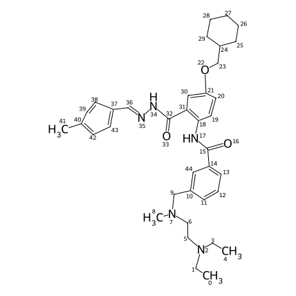 CCN(CC)CCN(C)Cc1cccc(C(=O)Nc2ccc(OCC3CCCCC3)cc2C(=O)NN=Cc2ccc(C)cc2)c1